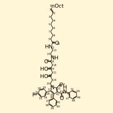 CCCCCCCCC=CCCCCCCCC(=O)NCCNC(=O)C[C@H](O)C[C@H](O)CCn1c(-c2ccc(F)cc2)c(-c2ccccc2)c(C(=O)Nc2ccccc2)c1C(C)C